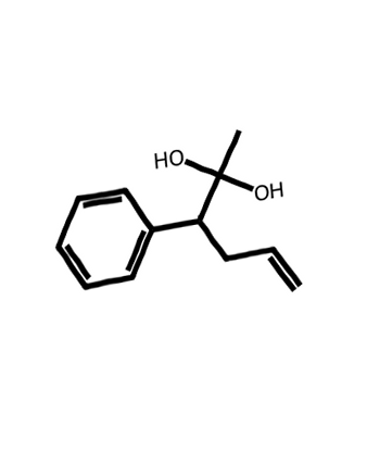 C=CC[C](c1ccccc1)C(C)(O)O